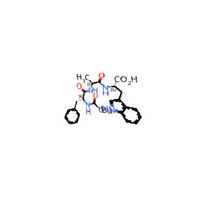 C[C@H](NC(=O)[C@@H](Cc1ccccc1)NC(=O)C(C)(C)C)C(=O)N[C@@H](Cc1c[nH]c2ccccc12)C(=O)O